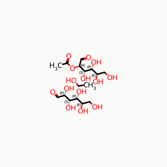 CC(=O)O[C@@H](C=O)[C@@H](O)[C@H](O)[C@H](O)CO.CCO.O=C[C@H](O)[C@@H](O)[C@H](O)[C@H](O)CO